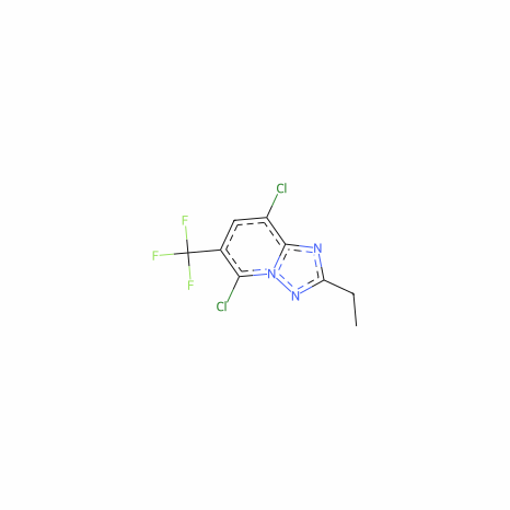 CCc1nc2c(Cl)cc(C(F)(F)F)c(Cl)n2n1